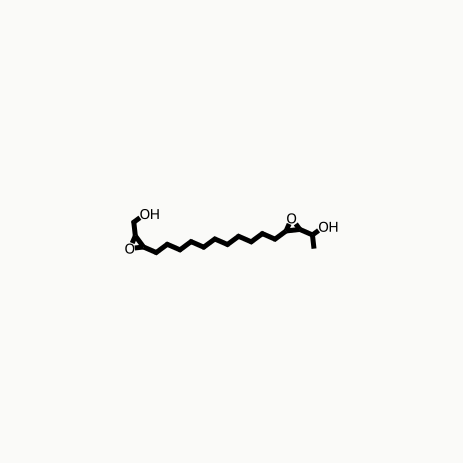 CC(O)C1OC1CCCCCCCCCCCC1OC1CO